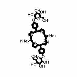 CCCCCCc1c2nc(c(-c3ccc(O[C@@H]4OC(CO)[C@H](O)C(O)C4O)cc3)c3ccc([nH]3)c(CCCCCC)c3nc(c(-c4ccc(OC5O[C@H](CO)C(O)C(O)[C@H]5O)cc4)c4ccc1[nH]4)C=C3)C=C2